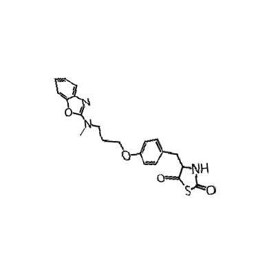 CN(CCCOc1ccc(CC2NC(=O)SC2=O)cc1)c1nc2ccccc2o1